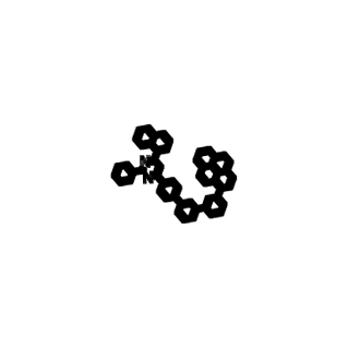 c1ccc(-c2nc(-c3ccc(-c4cccc(-c5cccc(-c6ccc7ccc8cccc9ccc6c7c89)c5)c4)cc3)cc(-c3cccc4ccccc34)n2)cc1